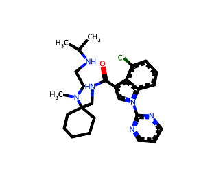 CC(C)NCCN(C)C1(CNC(=O)c2cn(-c3ncccn3)c3cccc(Cl)c23)CCCCC1